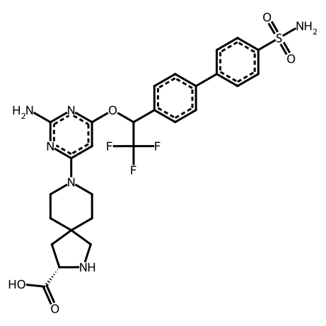 Nc1nc(OC(c2ccc(-c3ccc(S(N)(=O)=O)cc3)cc2)C(F)(F)F)cc(N2CCC3(CC2)CN[C@H](C(=O)O)C3)n1